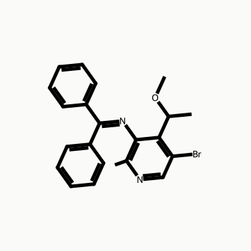 COC(C)c1c(Br)cnc(C)c1N=C(c1ccccc1)c1ccccc1